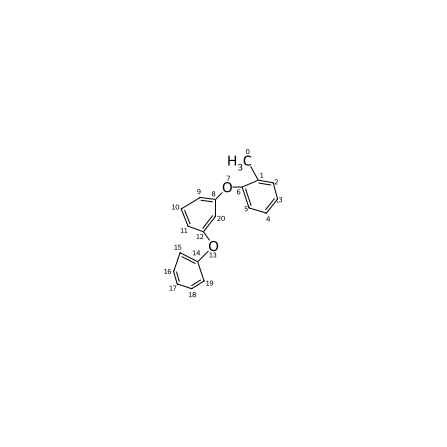 Cc1c[c]ccc1Oc1cccc(Oc2ccccc2)c1